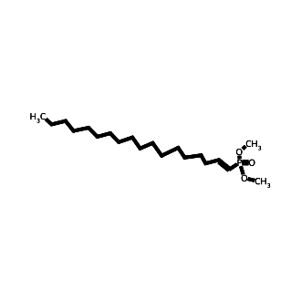 CCCCCCCCCCCCCCCC/C=C/P(=O)(OC)OC